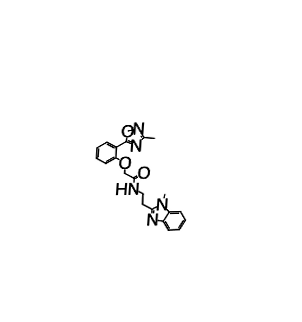 Cc1noc(-c2ccccc2OCC(=O)NCCc2nc3ccccc3n2C)n1